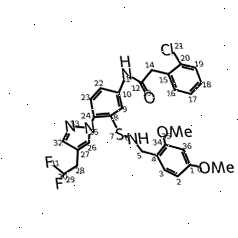 COc1ccc(CNSc2cc(NC(=O)Cc3ccccc3Cl)ccc2-n2cc(CC(F)F)cn2)c(OC)c1